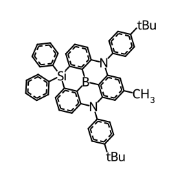 Cc1cc2c3c(c1)N(c1ccc(C(C)(C)C)cc1)c1cccc4c1B3c1c(cccc1[Si]4(c1ccccc1)c1ccccc1)N2c1ccc(C(C)(C)C)cc1